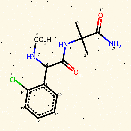 CC(C)(NC(=O)C(NC(=O)O)c1ccccc1Cl)C(N)=O